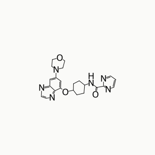 O=C(NC1CCC(Oc2cc(N3CCOCC3)cc3nccnc23)CC1)c1ncccn1